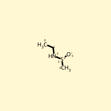 CCN[S+](C)[O-]